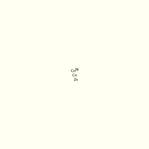 [Co].[Co].[Ni].[Zn]